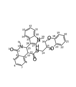 CN1C(=O)c2ccccc2C(C(=O)NCC2COc3ccccc3O2)C1c1cn(C)c2ccccc12